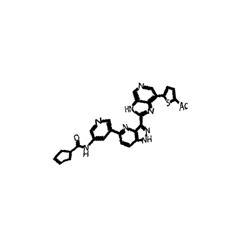 CC(=O)c1ccc(-c2cncc3[nH]c(-c4n[nH]c5ccc(-c6cncc(NC(=O)C7CCCC7)c6)nc45)nc23)s1